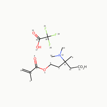 C=C(C)C(=O)OCCC(C)(CC(=O)O)N(C)C.O=C(O)C(F)(F)F